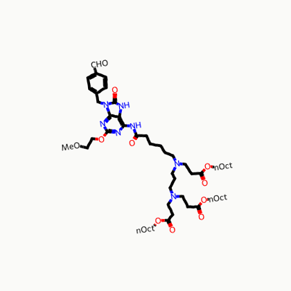 CCCCCCCCOC(=O)CCN(CCCCCC(=O)Nc1nc(OCCOC)nc2c1[nH]c(=O)n2Cc1ccc(C=O)cc1)CCCN(CCC(=O)OCCCCCCCC)CCC(=O)OCCCCCCCC